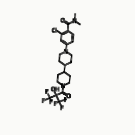 CN(C)C(=O)c1ccc(N2CCC(C3CCN(C(=O)C(O)(C(F)(F)F)C(F)(F)F)CC3)CC2)cc1Cl